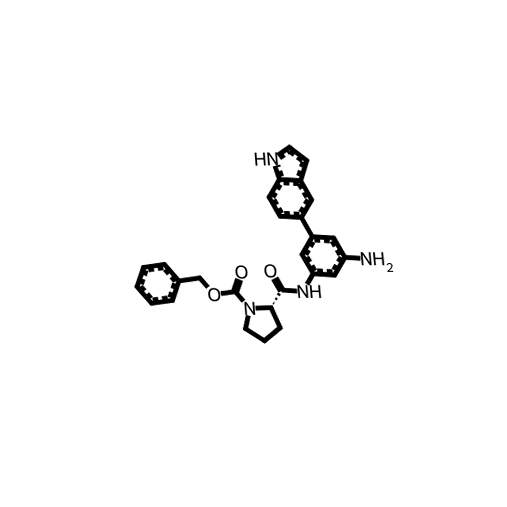 Nc1cc(NC(=O)[C@@H]2CCCN2C(=O)OCc2ccccc2)cc(-c2ccc3[nH]ccc3c2)c1